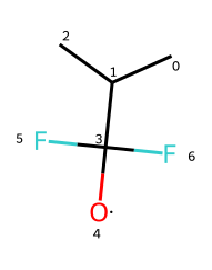 CC(C)C([O])(F)F